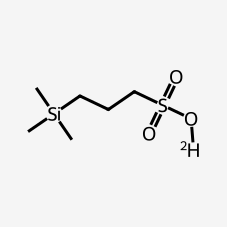 [2H]OS(=O)(=O)CCC[Si](C)(C)C